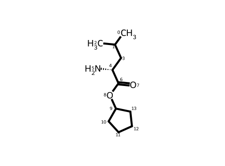 CC(C)C[C@@H](N)C(=O)OC1CCCC1